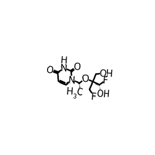 C[C@@H](OC(CO)(CF)[C@@H](O)F)n1ccc(=O)[nH]c1=O